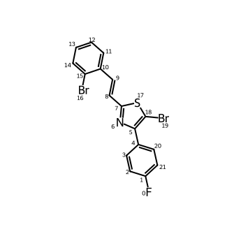 Fc1ccc(-c2nc(/C=C/c3ccccc3Br)sc2Br)cc1